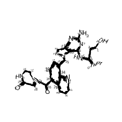 CCCC(CCO)Nc1nc(N)nc2cnn(Cc3ccc(C(=O)N4CCNC(=O)C4)c4cccnc34)c12